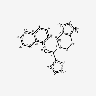 O=C(c1cncs1)N1CCc2[nH]cnc2[C@H]1c1ccc2ccccc2n1